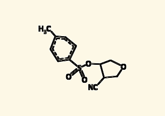 Cc1ccc(S(=O)(=O)OC2COCC2C#N)cc1